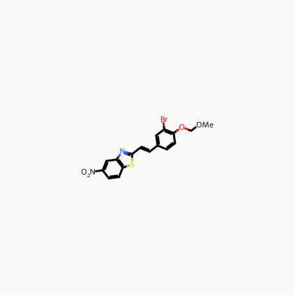 COCOc1ccc(/C=C/c2nc3cc([N+](=O)[O-])ccc3s2)cc1Br